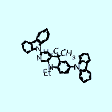 CCN1c2ccc(-n3c4ccccc4c4ccccc43)cc2C(C)(C)c2cc(-n3c4ccccc4c4ccccc43)ncc21